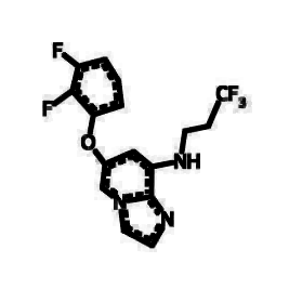 Fc1cccc(Oc2cc(NCCC(F)(F)F)c3nccn3c2)c1F